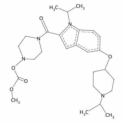 COC(=O)ON1CCN(C(=O)c2cc3cc(OC4CCN(C(C)C)CC4)ccc3n2C(C)C)CC1